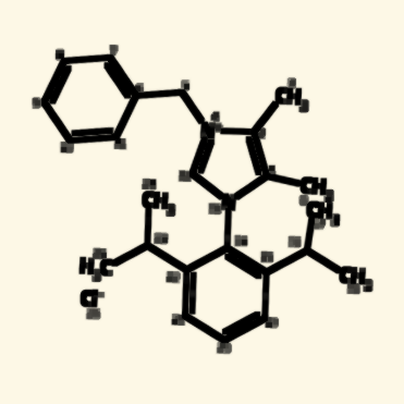 Cc1c(C)[n+](Cc2ccccc2)cn1-c1c(C(C)C)cccc1C(C)C.[Cl-]